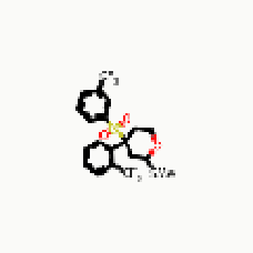 CSC1CC(c2ccccc2C(F)(F)F)(S(=O)(=O)c2cccc(C(F)(F)F)c2)CCO1